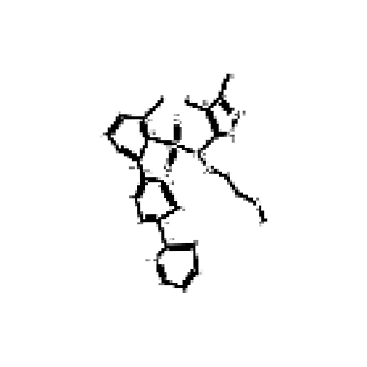 COCCON(c1onc(C)c1C)S(=O)(=O)c1c(C)cccc1-c1ccc(-c2ccccn2)cc1